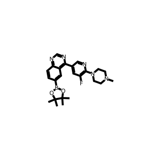 CN1CCN(c2ncc(-c3ncnc4ccc(B5OC(C)(C)C(C)(C)O5)cc34)cc2F)CC1